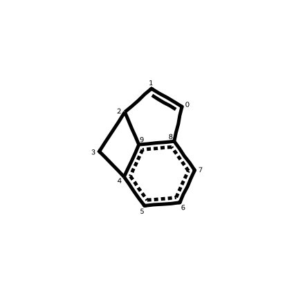 C1=CC2Cc3cccc1c32